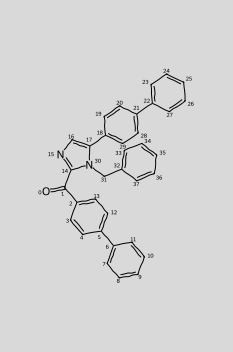 O=C(c1ccc(-c2ccccc2)cc1)c1ncc(-c2ccc(-c3ccccc3)cc2)n1Cc1ccccc1